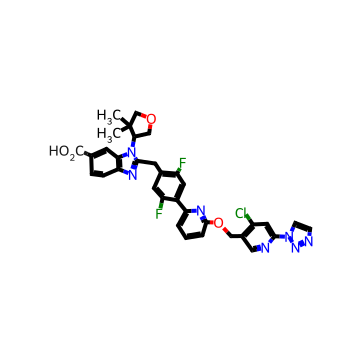 CC1(C)COCC1n1c(Cc2cc(F)c(-c3cccc(OCc4cnc(-n5ccnn5)cc4Cl)n3)cc2F)nc2ccc(C(=O)O)cc21